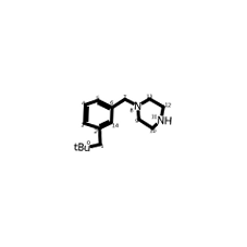 CC(C)(C)Cc1cccc(CN2CCNCC2)c1